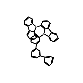 c1ccc(-c2cccc(-c3cccc(-n4c5ccccc5c5cccc(-n6c7ccccc7c7ccccc76)c54)c3)c2)cc1